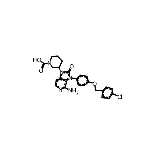 Nc1nccc2c1n(-c1ccc(OCc3ccc(Cl)cc3)cc1)c(=O)n2[C@@H]1CCCN(C(=O)O)C1